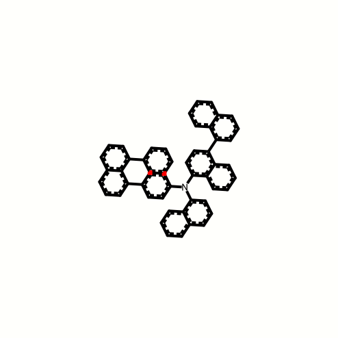 c1ccc(-c2cccc3cccc(-c4ccc(N(c5cccc6ccccc56)c5ccc(-c6cccc7ccccc67)c6ccccc56)cc4)c23)cc1